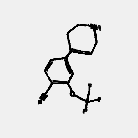 N#Cc1ccc(C2=CCNCC2)cc1OC(F)(F)F